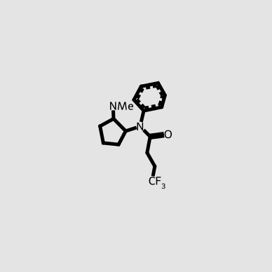 CNC1CCCC1N(C(=O)CCC(F)(F)F)c1ccccc1